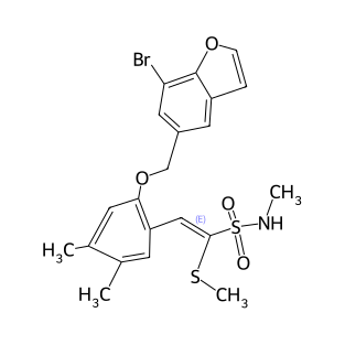 CNS(=O)(=O)/C(=C/c1cc(C)c(C)cc1OCc1cc(Br)c2occc2c1)SC